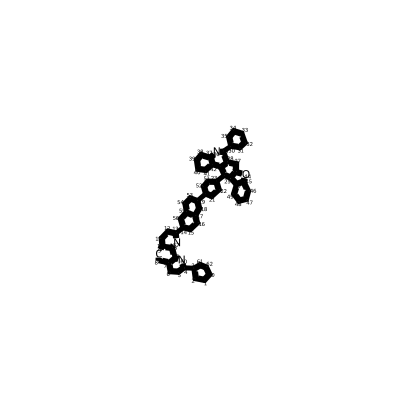 c1ccc(-c2ccc3ccc4ccc(-c5ccc6cc(-c7ccc(-c8c9c(cc%10c(-c%11ccccc%11)nc%11ccccc%11c8%10)oc8ccccc89)cc7)ccc6c5)nc4c3n2)cc1